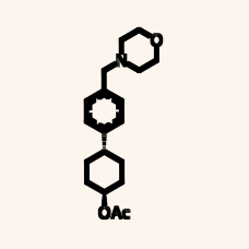 CC(=O)O[C@H]1CC[C@H](c2ccc(CN3CCOCC3)cc2)CC1